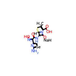 CC1=C(C(=O)O)N2C(=O)[C@@H](NC(=O)/C(=N\O)c3c[se]c(N)n3)[C@H]2SC1.[NaH]